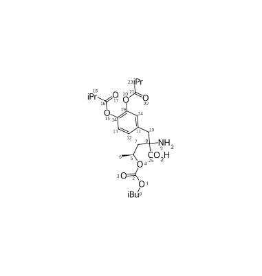 CCC(C)OC(=O)O[C@@H](C)CC(N)(Cc1ccc(OC(=O)C(C)C)c(OC(=O)C(C)C)c1)C(=O)O